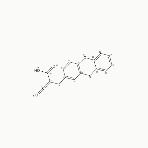 O=C=C(Cc1ccc2c(c1)Cc1ccccc1O2)C(=O)O